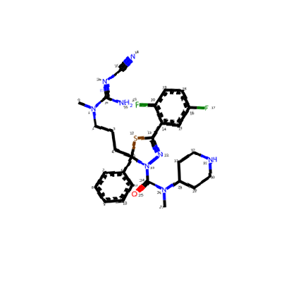 CN(CCCC1(c2ccccc2)SC(c2cc(F)ccc2F)=NN1C(=O)N(C)C1CCNCC1)/C(N)=N/C#N